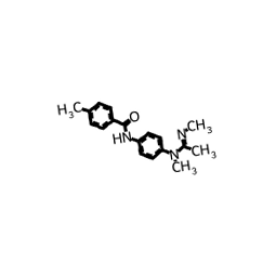 CN=C(C)N(C)c1ccc(NC(=O)c2ccc(C)cc2)cc1